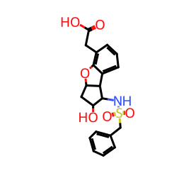 O=C(O)Cc1cccc2c1OC1CC(O)C(NS(=O)(=O)Cc3ccccc3)C21